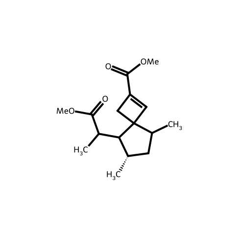 COC(=O)C1=CC2(C1)C(C)C[C@H](C)C2C(C)C(=O)OC